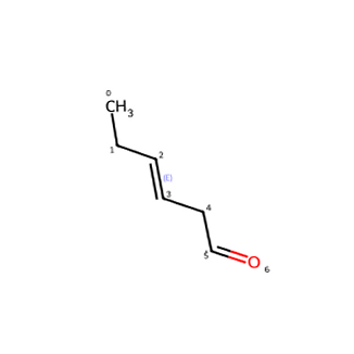 CC/C=C/C[C]=O